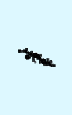 CCCCOC(=O)NC(=N)c1ccc(NCc2nc3c(C)c(OC(=O)N(CCC(=O)OC)c4ccccn4)ccc3[nH]2)cc1